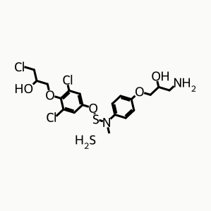 CN(SOc1cc(Cl)c(OCC(O)CCl)c(Cl)c1)c1ccc(OCC(O)CN)cc1.S